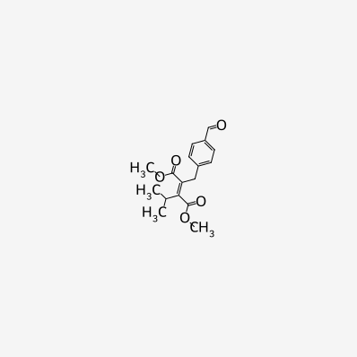 COC(=O)C(Cc1ccc(C=O)cc1)=C(C(=O)OC)C(C)C